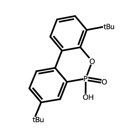 CC(C)(C)c1ccc2c(c1)P(=O)(O)Oc1c-2cccc1C(C)(C)C